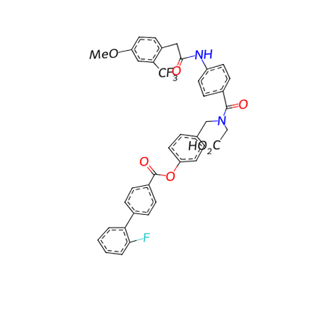 COc1ccc(CC(=O)Nc2ccc(C(=O)N(CC(=O)O)Cc3ccc(OC(=O)c4ccc(-c5ccccc5F)cc4)cc3)cc2)c(C(F)(F)F)c1